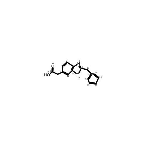 O=C(O)Cc1ccc2nc(Cc3ccccc3)oc2c1